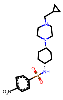 O=[N+]([O-])c1ccc(S(=O)(=O)N[C@H]2CC[C@H](N3CCN(CC4CC4)CC3)CC2)cc1